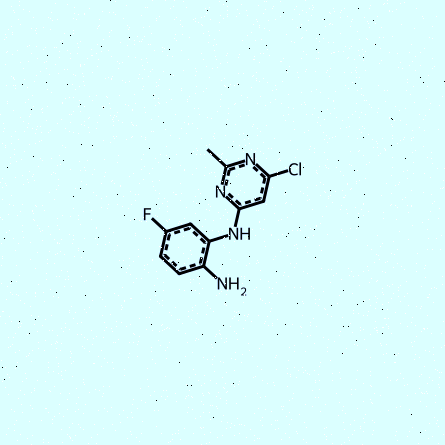 Cc1nc(Cl)cc(Nc2cc(F)ccc2N)n1